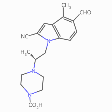 Cc1c(C=O)ccc2c1cc(C#N)n2C[C@H](C)N1CCN(C(=O)O)CC1